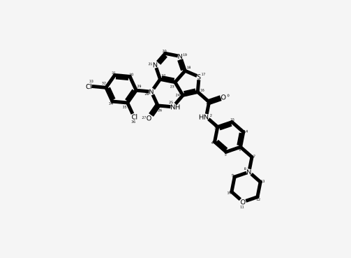 O=C(Nc1ccc(CN2CCOCC2)cc1)c1sc2ncnc3c2c1NC(=O)N3c1ccc(Cl)cc1Cl